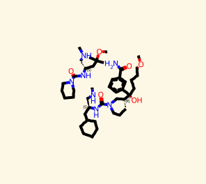 CNC[C@H](CC(C)(C)OC)NC(=O)N1CCCCC1.CNC[C@H](CC1CCCCC1)NC(=O)N1CCC[C@@H]([C@@](O)(CCCCOC)c2cccc(C(N)=O)c2)C1